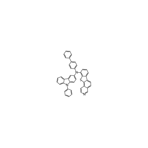 c1ccc(-c2ccc(N(c3ccc4c(c3)c3ccccc3n4-c3ccccc3)c3cccc4c3sc3c5ccncc5ccc43)cc2)cc1